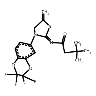 C=C1CN(c2ccc3c(c2)OC(F)(F)C(F)(F)O3)C(=NC(=O)CC(C)(C)C)S1